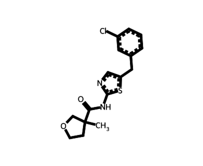 CC1(C(=O)Nc2ncc(Cc3cccc(Cl)c3)s2)CCOC1